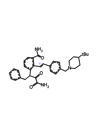 CC(C)(C)C1CCN(Cc2ccc(/C=C/c3c(C(N)=O)cccc3C(Cc3ccccc3)C(=O)C(N)=O)cc2)CC1